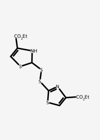 CCOC(=O)C1=CSC(SSc2nc(C(=O)OCC)cs2)N1